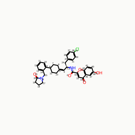 O=C(N[C@@H](C=C1CCC(c2ccccc2CN2CCCC2=O)CC1)Cc1ccc(Cl)cc1)c1cc(=O)c2cc(O)ccc2o1